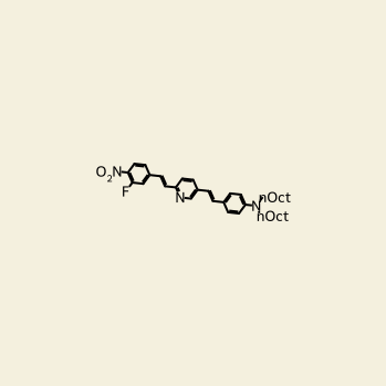 CCCCCCCCN(CCCCCCCC)c1ccc(C=Cc2ccc(C=Cc3ccc([N+](=O)[O-])c(F)c3)nc2)cc1